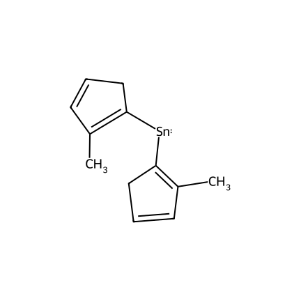 CC1=[C]([Sn][C]2=C(C)C=CC2)CC=C1